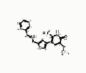 CCc1cc(-c2coc(CNCc3ccccn3)c2)c(C)[nH]c1=O